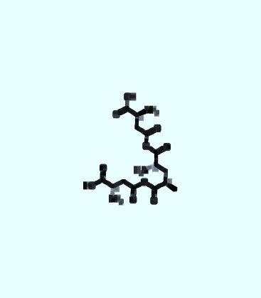 C[C@H](C[C@H](N)C(=O)OC(=O)C[C@H](N)C(=O)O)C(=O)OC(=O)C[C@H](N)C(=O)O